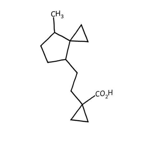 CC1CCC(CCC2(C(=O)O)CC2)C12CC2